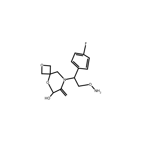 C=C1C(O)OC2(COC2)CN1C(CON)c1ccc(F)cc1